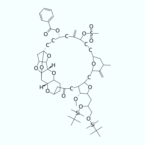 C=C1C[C@@H](OC(=O)c2ccccc2)CC[C@@]23CC4OC5C(O2)[C@H]2OC(CCC2O[C@H]5C4O3)CC(=O)CC2C(CC3OC(CCC1OS(C)(=O)=O)CC(C)C3=C)OC(CC(CO[Si](C)(C)C(C)(C)C)O[Si](C)(C)C(C)(C)C)[C@@H]2OC